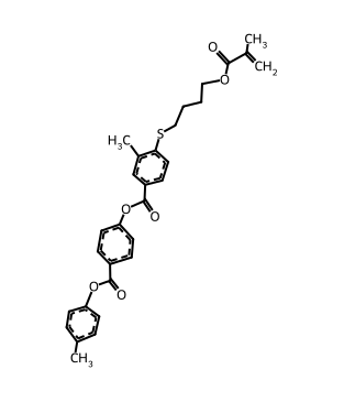 C=C(C)C(=O)OCCCCSc1ccc(C(=O)Oc2ccc(C(=O)Oc3ccc(C)cc3)cc2)cc1C